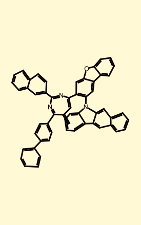 C=C1C=C(c2cc3oc4ccccc4c3cc2-n2c3ccccc3c3cc4ccccc4cc32)N=C(c2ccc3ccccc3c2)N=C1c1ccc(-c2ccccc2)cc1